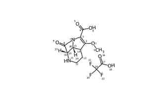 COC1=C(C(=O)O)N2C(=O)[C@H]3NCCC1[C@H]32.O=C(O)C(F)(F)F